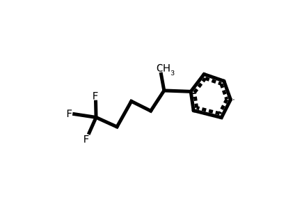 CC(CCCC(F)(F)F)c1cc[c]cc1